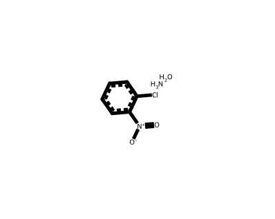 N.O.O=[N+]([O-])c1ccccc1Cl